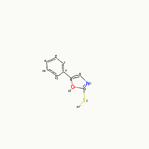 CSc1ncc(-c2ccccc2)o1